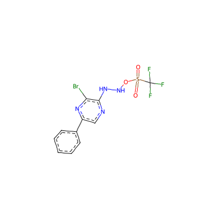 O=S(=O)(ONNc1ncc(-c2ccccc2)nc1Br)C(F)(F)F